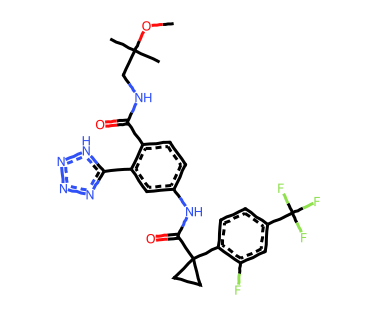 COC(C)(C)CNC(=O)c1ccc(NC(=O)C2(c3ccc(C(F)(F)F)cc3F)CC2)cc1-c1nnn[nH]1